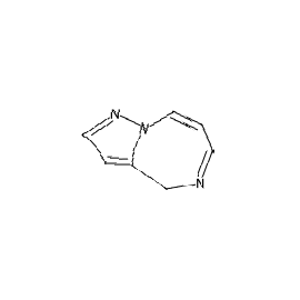 C1=Cn2nccc2CN=C1